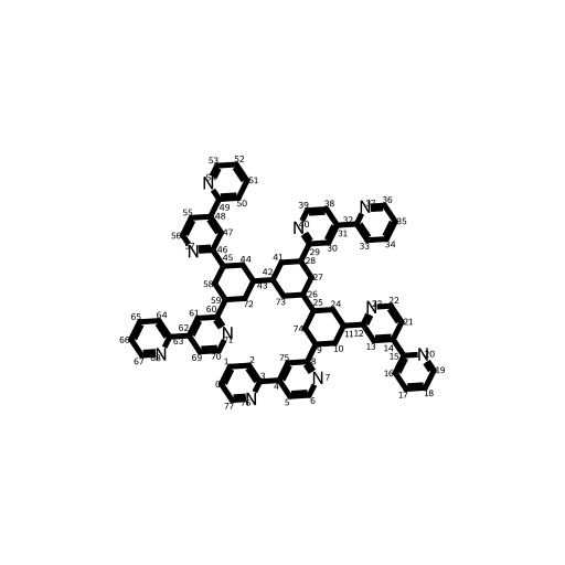 c1ccc(-c2ccnc(C3CC(c4cc(-c5ccccn5)ccn4)CC(C4CC(c5cc(-c6ccccn6)ccn5)CC(C5CC(c6cc(-c7ccccn7)ccn6)CC(c6cc(-c7ccccn7)ccn6)C5)C4)C3)c2)nc1